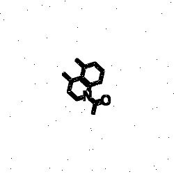 CC(=O)N1CCC(C)C2=C1CCCC2C